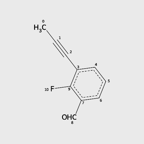 CC#Cc1cccc(C=O)c1F